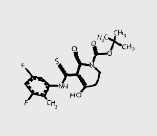 Cc1c(F)cc(F)cc1NC(=S)C1=C(O)CCN(C(=O)OC(C)(C)C)C1=O